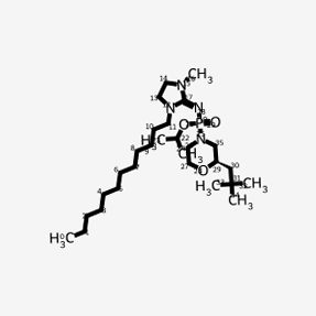 CCCCCCCCCCCCN1CCN(C)/C1=N/P(=O)(OC(C)C)N1CCO[C@H](CC(C)(C)C)C1